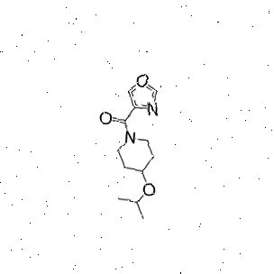 CC(C)OC1CCN(C(=O)c2cocn2)CC1